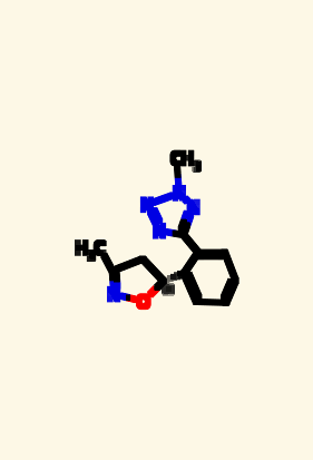 CC1=NO[C@@H](c2ccccc2-c2nnn(C)n2)C1